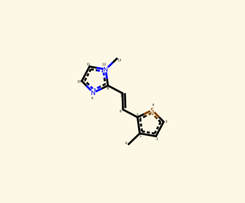 Cc1ccsc1/C=C/c1nccn1C